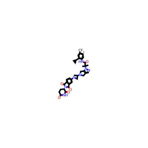 CC(C)(C(=O)Nc1ccc(C(F)(F)F)cc1C1CC1)n1ncc2c1CN(C1CN(c3ccc4c(c3)C(=O)N(C3CCC(=O)NC3=O)C4=O)C1)C2